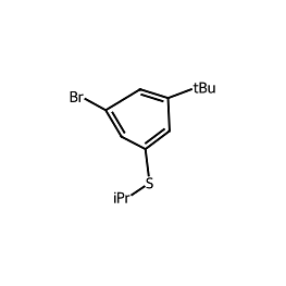 CC(C)Sc1cc(Br)cc(C(C)(C)C)c1